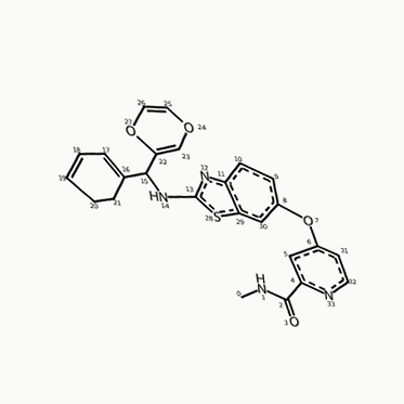 CNC(=O)c1cc(Oc2ccc3nc(NC(C4=CC=CCC4)C4=COC=CO4)sc3c2)ccn1